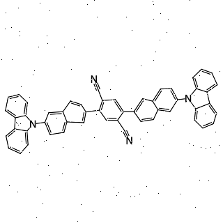 N#Cc1cc(-c2ccc3cc(-n4c5ccccc5c5ccccc54)ccc3c2)c(C#N)cc1-c1ccc2cc(-n3c4ccccc4c4ccccc43)ccc2c1